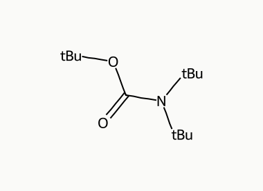 CC(C)(C)OC(=O)N(C(C)(C)C)C(C)(C)C